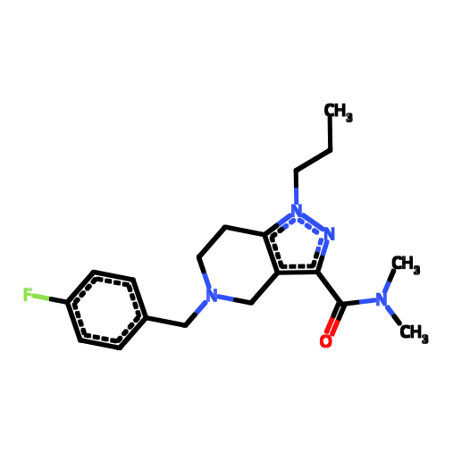 CCCn1nc(C(=O)N(C)C)c2c1CCN(Cc1ccc(F)cc1)C2